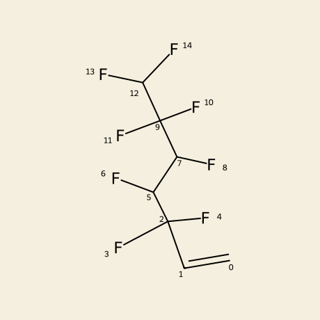 C=CC(F)(F)C(F)C(F)C(F)(F)C(F)F